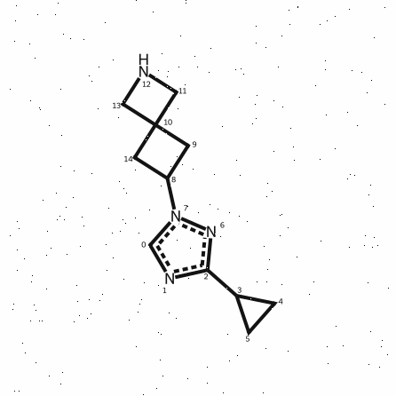 c1nc(C2CC2)nn1C1CC2(CNC2)C1